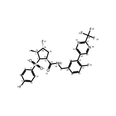 C[C@@H]1C(S(=O)(=O)c2ccc(F)cc2)[C@H](C(=O)NCc2ccc(F)c(-c3cnc(C(F)(F)F)nc3)c2)C[C@H]1F